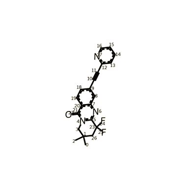 CC1(C)Cn2c(nc3cc(C#Cc4ccccn4)ccc3c2=O)C(F)(F)C1